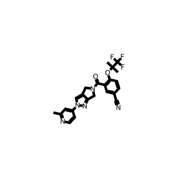 Cc1cc(-n2cc3c(n2)CN(C(=O)c2cc(C#N)ccc2OC(C)(C)C(F)(F)F)C3)ccn1